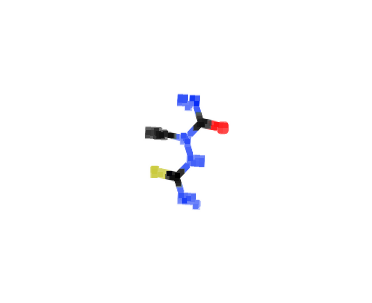 NC(=O)N([SeH])NC(N)=S